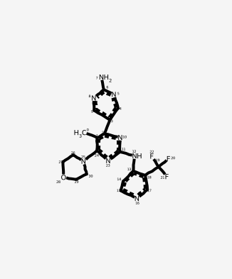 Cc1c(-c2cnc(N)nc2)nc(Nc2ccncc2C(F)(F)F)nc1N1CCOCC1